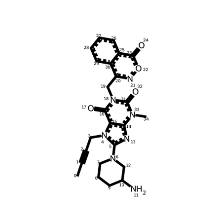 CC#CCn1c(N2CCCC(N)C2)nc2c1c(=O)n(Cc1noc(=O)c3ccccc13)c(=O)n2C